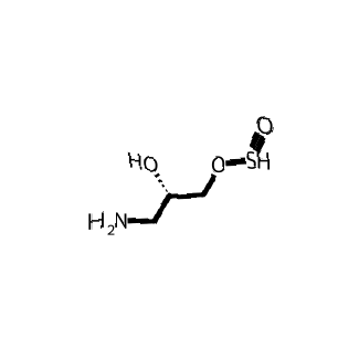 NC[C@H](O)CO[SH]=O